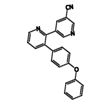 N#Cc1cncc(-c2ncccc2-c2ccc(Oc3ccccc3)cc2)c1